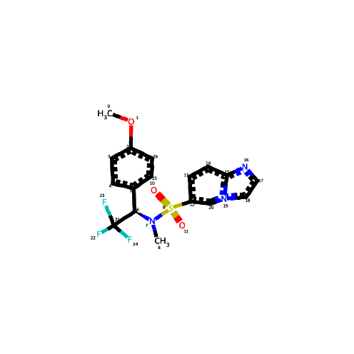 COc1ccc([C@@H](N(C)S(=O)(=O)c2ccc3nccn3c2)C(F)(F)F)cc1